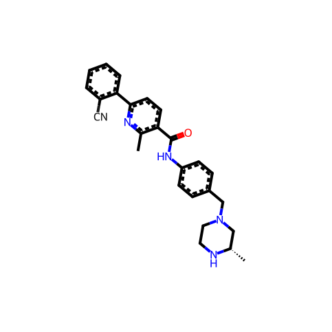 Cc1nc(-c2ccccc2C#N)ccc1C(=O)Nc1ccc(CN2CCN[C@@H](C)C2)cc1